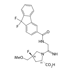 COC[C@@]1(F)C[C@@H](C(=O)O)N(C(=N)CNC(=O)c2ccc3c(c2)-c2ccccc2C3(F)F)C1